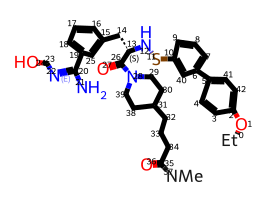 CCOc1ccc(-c2cccc(SN[C@@H](Cc3cccc(/C(N)=N\CO)c3)C(=O)N3CCC(CCCC(=O)NC)CC3)c2)cc1